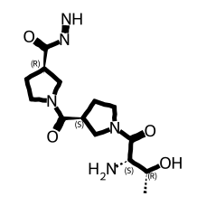 C[C@@H](O)[C@H](N)C(=O)N1CC[C@H](C(=O)N2CC[C@@H](C(=O)N=N)C2)C1